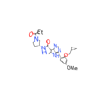 CCC(=O)N1CC[C@@H](NC(=O)c2c(C)[nH]c3c(-c4ccc(OC)cc4OCC4CC4)ncnc23)C1